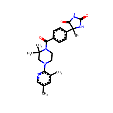 Cc1cnc(N2CCN(C(=O)c3ccc(C4(C(C)C)NC(=O)NC4=O)cc3)C(C)(C)C2)c(C)c1